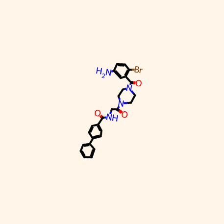 Nc1ccc(Br)c(C(=O)N2CCN(C(=O)CNC(=O)c3ccc(-c4ccccc4)cc3)CC2)c1